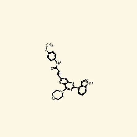 COc1ccc(NC(=O)/C=C/c2cc3nc(-c4cccc5[nH]ncc45)nc(N4CCOCC4)c3s2)cc1